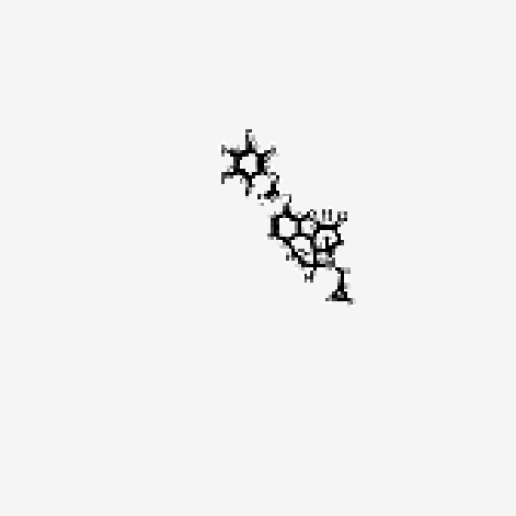 O=C1CC23C[C@@]45C6C(=C(OC(=S)Oc7c(F)c(F)c(F)c(F)c7F)C=CC6C[C@@H](N2CC2CC2)[C@]34O)O[C@@H]15